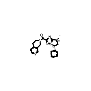 O=C(c1nc2n(n1)[C@H](c1ccccc1)C[C@@H]2F)N1CCc2ccncc2C1